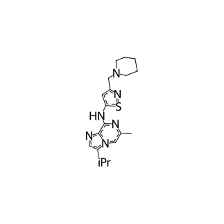 Cc1cn2c(C(C)C)cnc2c(Nc2cc(CN3CCCCC3)ns2)n1